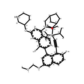 COCOc1cc(-c2ncc3c(N4CC5CCC(C5)C4)nc(OC4CCCNC4)nc3c2F)c2c(C#C[Si](C(C)C)(C(C)C)C(C)C)c(F)ccc2c1